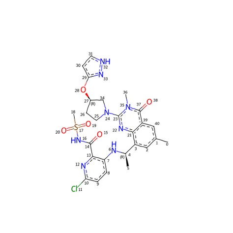 Cc1cc([C@@H](C)Nc2ccc(Cl)nc2C(=O)NS(C)(=O)=O)c2nc(N3CC[C@@H](Oc4cc[nH]n4)C3)n(C)c(=O)c2c1